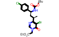 CCOC(=O)Cn1cnc([C@H](C)C[C@H](NC(=O)OC(C)(C)C)c2ccc(Cl)cc2)c(Br)c1=O